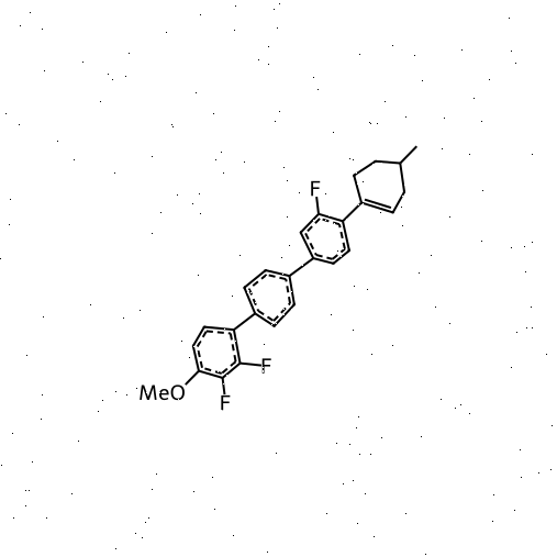 COc1ccc(-c2ccc(-c3ccc(C4=CCC(C)CC4)c(F)c3)cc2)c(F)c1F